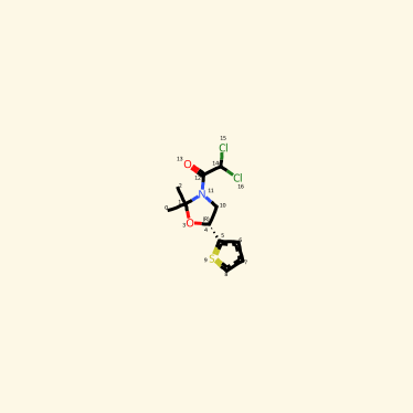 CC1(C)O[C@@H](c2cccs2)CN1C(=O)C(Cl)Cl